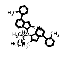 CC1=Cc2c(-c3ccccc3C)cccc2[CH]1[Zr]([CH]1C(C)=Cc2c(-c3ccccc3C)cccc21)[SiH](C)C.Cl.Cl